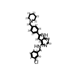 Clc1cccc(CNc2ncnc3[nH]c(-c4ccc(CN5CCCCC5)cc4)cc23)c1